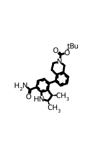 C[C@@H]1c2c(-c3cccc4c3CCN(C(=O)OC(C)(C)C)C4)ccc(C(N)=O)c2N[C@@H]1C